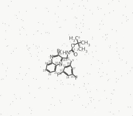 CC(C)(C)OC(=O)N[C@H](Cc1cc(F)cc(F)c1)c1nc2ccccc2nc1Br